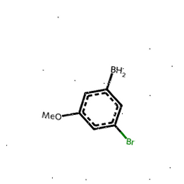 Bc1cc(Br)cc(OC)c1